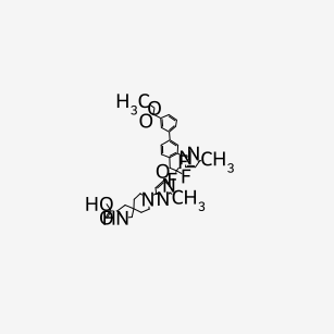 COC(=O)c1cccc(-c2ccc([C@@H](Oc3cc(N4CCC5(CC4)CN[C@H](C(=O)O)C5)nc(C)n3)C(F)(F)F)c(-n3ccc(C)n3)c2)c1